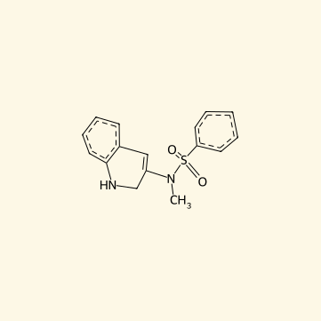 CN(C1=Cc2ccccc2NC1)S(=O)(=O)c1ccccc1